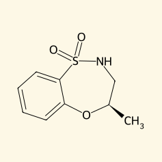 C[C@@H]1CNS(=O)(=O)c2ccccc2O1